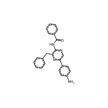 Nc1ccc(-c2cnc(NC(=O)c3ccccc3)c(Cc3ccccc3)n2)cc1